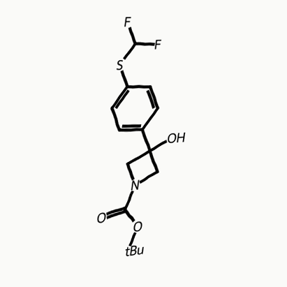 CC(C)(C)OC(=O)N1CC(O)(c2ccc(SC(F)F)cc2)C1